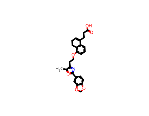 Cc1oc(-c2ccc3c(c2)OCO3)nc1CCOc1cccc2c1CCC=C2CCC(=O)O